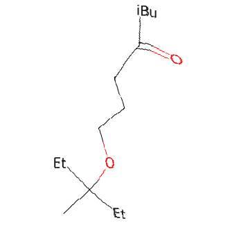 CCC(C)C(=O)CCCOC(C)(CC)CC